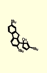 CC(C)(C)C1=CC(C)(c2c(C(C)(C)C)ccc3c2[CH]c2cc(C(C)(C)C)ccc2-3)C=C1